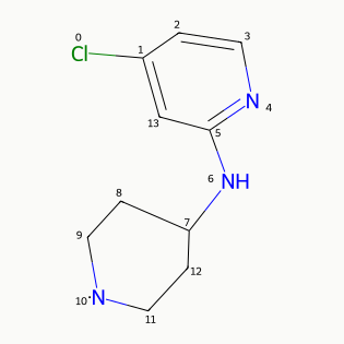 Clc1ccnc(NC2CC[N]CC2)c1